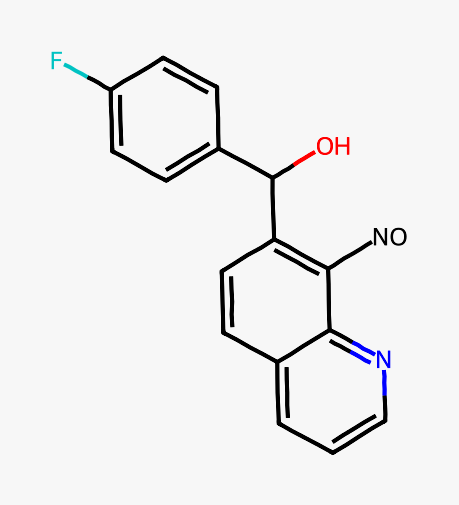 O=Nc1c(C(O)c2ccc(F)cc2)ccc2cccnc12